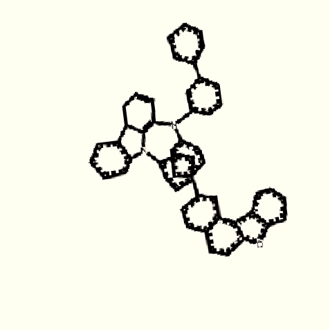 C1=CC(N(c2ccc(-c3ccc4ccc5oc6ccccc6c5c4c3)cc2)c2cccc(-c3ccccc3)c2)=C2C(C1)c1ccccc1N2c1ccccc1